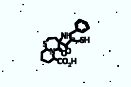 NC1(C(=O)C(CS)Cc2ccccc2)CCSC2CCCC(C(=O)O)N2C1=O